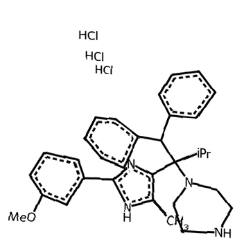 COc1cccc(-c2nc(C(C(C)C)(C(c3ccccc3)c3ccccc3)N3CCNCC3)c(C)[nH]2)c1.Cl.Cl.Cl